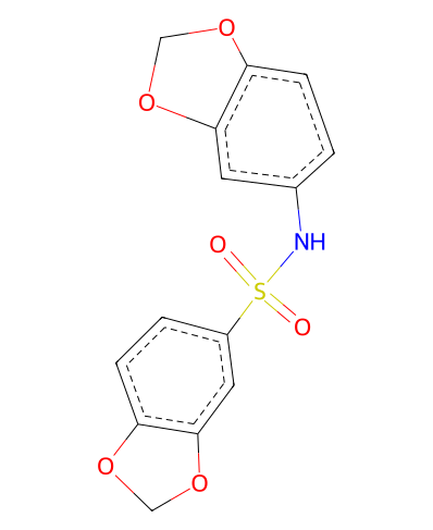 O=S(=O)(Nc1ccc2c(c1)OCO2)c1ccc2c(c1)OCO2